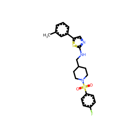 Cc1[c]ccc(-c2cnc(NCC3CCN(S(=O)(=O)c4ccc(F)cc4)CC3)s2)c1